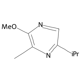 COc1ncc(C(C)C)nc1C